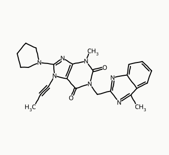 CC#Cn1c(N2CCCCC2)nc2c1c(=O)n(Cc1nc(C)c3ccccc3n1)c(=O)n2C